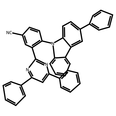 N#Cc1ccc(-n2c3ccccc3c3cc(-c4ccccc4)ccc32)c(-c2nc(-c3ccccc3)cc(-c3ccccc3)n2)c1